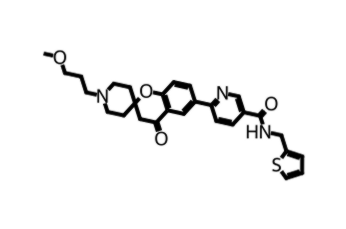 COCCCN1CCC2(CC1)CC(=O)c1cc(-c3ccc(C(=O)NCc4cccs4)cn3)ccc1O2